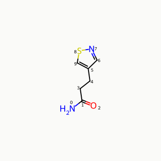 NC(=O)CCc1cnsc1